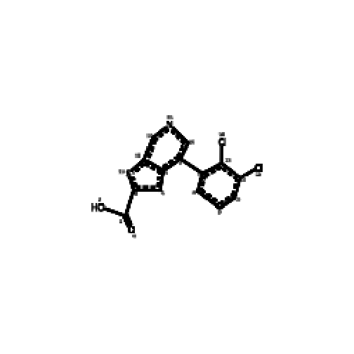 O=C(O)c1cc2c(-c3cccc(Cl)c3Cl)cncc2s1